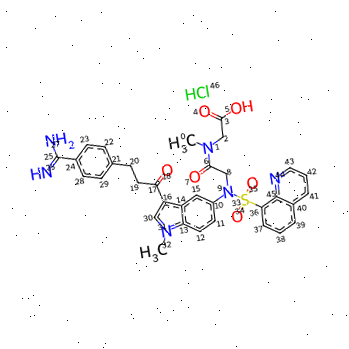 CN(CC(=O)O)C(=O)CN(c1ccc2c(c1)c(C(=O)CCc1ccc(C(=N)N)cc1)cn2C)S(=O)(=O)c1cccc2cccnc12.Cl